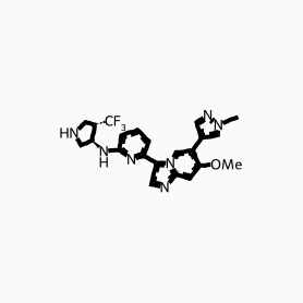 COc1cc2ncc(-c3cccc(N[C@H]4CNC[C@@H]4C(F)(F)F)n3)n2cc1-c1cnn(C)c1